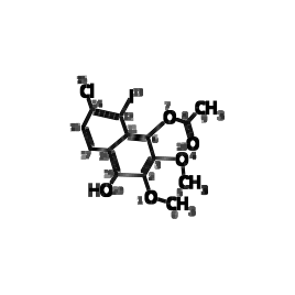 COc1c(OC)c(OC(C)=O)c2c(I)c(Cl)ccc2c1O